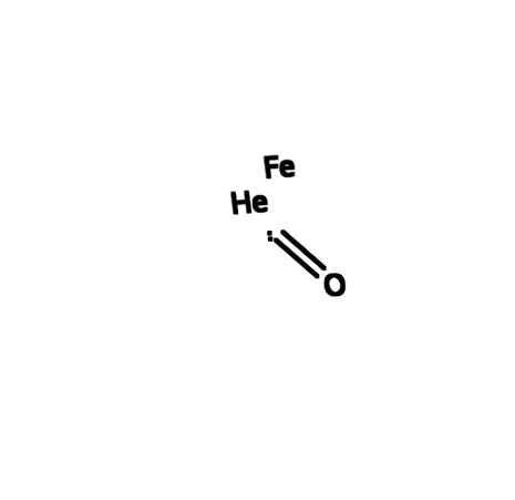 [C]=O.[Fe].[He]